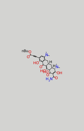 CCCCOC(=O)C#Cc1cc(N(C)C)c2c(c1O)C(=O)C1=C(O)[C@]3(O)C(=O)C(C(N)=O)=C(O)[C@@H](N(C)C)[C@@H]3C[C@@H]1C2